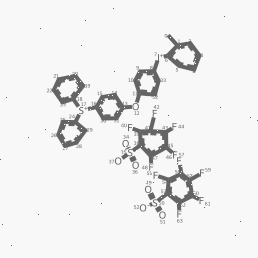 Cc1ccccc1[I+]c1ccc(Oc2ccc([S+](c3ccccc3)c3ccccc3)cc2)cc1.O=S(=O)([O-])c1c(F)c(F)c(F)c(F)c1F.O=S(=O)([O-])c1c(F)c(F)c(F)c(F)c1F